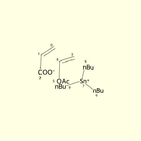 C=CC(=O)[O-].C=COC(C)=O.CCC[CH2][Sn+]([CH2]CCC)[CH2]CCC